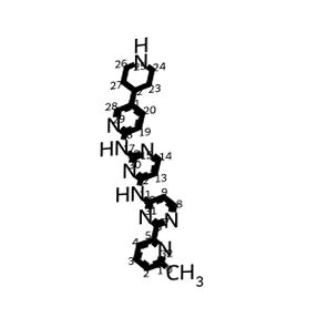 Cc1cccc(-c2nccc(Nc3ccnc(Nc4ccc(C5CCNCC5)cn4)n3)n2)n1